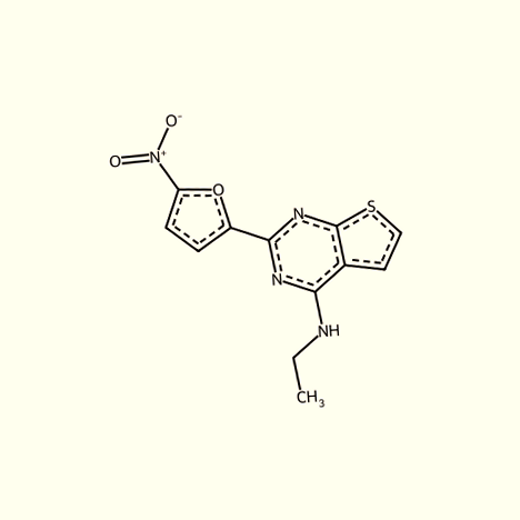 CCNc1nc(-c2ccc([N+](=O)[O-])o2)nc2sccc12